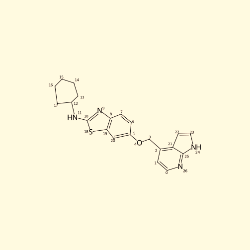 c1cc(COc2ccc3nc(NC4CCCCC4)sc3c2)c2cc[nH]c2n1